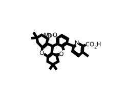 COc1ccc(-c2ccc(C)c(C(=O)O)n2)c(C)c1C1C2=C(CC(C)(C)CC2=O)OC2=C1C(=O)CC(C)(C)C2